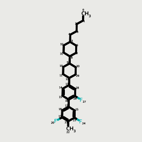 CCCCCC1CCC(C2CCC(c3ccc(-c4cc(F)c(C)c(F)c4)c(F)c3)CC2)CC1